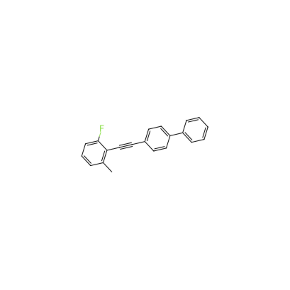 Cc1cccc(F)c1C#Cc1ccc(-c2ccccc2)cc1